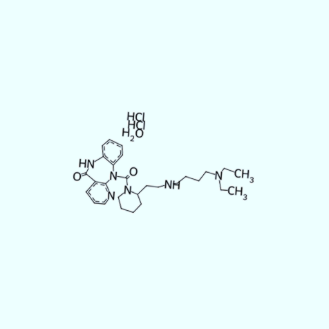 CCN(CC)CCCCNCCC1CCCCN1C(=O)N1c2ccccc2NC(=O)c2cccnc21.Cl.Cl.O